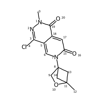 Cn1nc(Cl)c2cn(C34COC(C)(C3)C4)c(=O)cc2c1=O